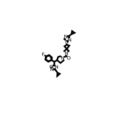 O=C(N1CCC(C(c2ccc(F)cc2)c2nc(C3CC3)no2)CC1)N1CC2(CC(n3cnc(C4CC4)n3)C2)C1